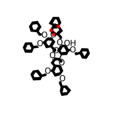 O=C(O[C@@H]1Cc2c(OCc3ccccc3)cc(OCc3ccccc3)cc2O[C@@H]1c1cc(OCc2ccccc2)c(O)c(OCc2ccccc2)c1)c1cc(OCc2ccccc2)c(OCc2ccccc2)c(OCc2ccccc2)c1